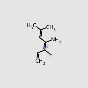 C=C/C(F)=C(/N)C=C(C)C